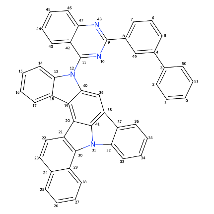 c1ccc(-c2cccc(-c3nc(-n4c5ccccc5c5c6c7ccc8ccccc8c7n7c8ccccc8c(cc54)c67)c4ccccc4n3)c2)cc1